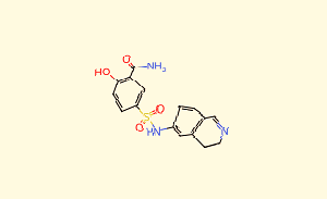 NC(=O)c1cc(S(=O)(=O)Nc2ccc3c(c2)CCN=C3)ccc1O